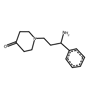 NC(CCN1CCC(=O)CC1)c1ccccc1